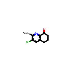 CNc1nc2c(cc1Br)CCCC2=O